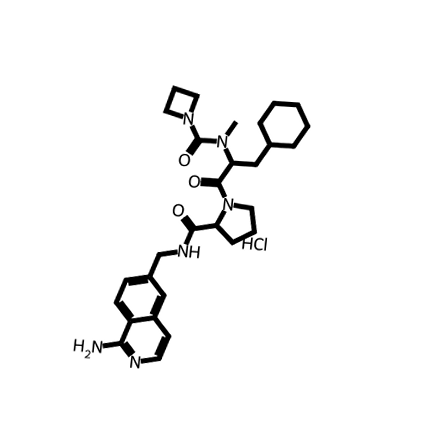 CN(C(=O)N1CCC1)C(CC1CCCCC1)C(=O)N1CCCC1C(=O)NCc1ccc2c(N)nccc2c1.Cl